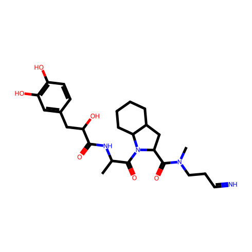 CC(NC(=O)C(O)Cc1ccc(O)c(O)c1)C(=O)N1C(C(=O)N(C)CCC=N)CC2CCCCC21